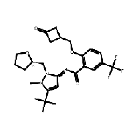 Cn1c(C(C)(C)C)cc(=NC(=O)c2cc(C(F)(F)F)ccc2OCC2CC(=O)C2)n1C[C@H]1CCCO1